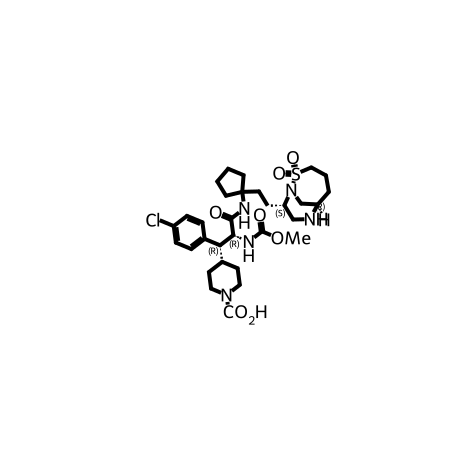 COC(=O)N[C@@H](C(=O)NC1(CC[C@H]2CN[C@@H]3CCCS(=O)(=O)N2C3)CCCC1)[C@@H](c1ccc(Cl)cc1)C1CCN(C(=O)O)CC1